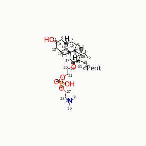 CCC[C@@H](C)[C@H]1CC[C@H]2[C@@H]3CC[C@@H]4C[C@H](O)CC[C@]4(C)[C@H]3C[C@H](OCCOP(=O)(O)OCCN(C)C)[C@]12C